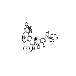 CC[C@@H](Nc1cc(F)c(C(=O)N[C@@H](Cc2ccc(-c3nn(C)c(=O)cc3C)c3ncccc23)C(=O)O)c(F)c1)C(F)(F)F